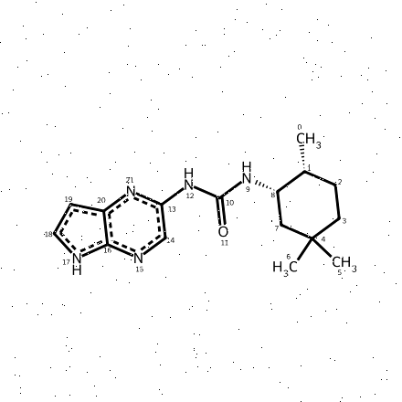 C[C@@H]1CCC(C)(C)C[C@@H]1NC(=O)Nc1cnc2[nH]ccc2n1